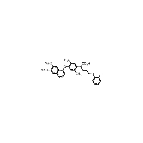 COc1cc2nccc(Oc3cc(C)c(N(CCCOc4ccccc4Cl)C(=O)O)cc3C)c2cc1OC